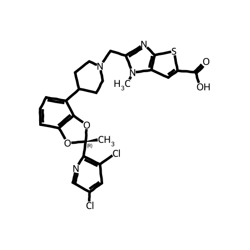 Cn1c(CN2CCC(c3cccc4c3O[C@](C)(c3ncc(Cl)cc3Cl)O4)CC2)nc2sc(C(=O)O)cc21